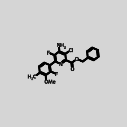 COc1c(C)ccc(-c2nc(C(=O)OCc3ccccc3)c(Cl)c(N)c2F)c1F